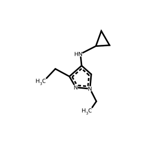 CCc1nn(CC)cc1NC1CC1